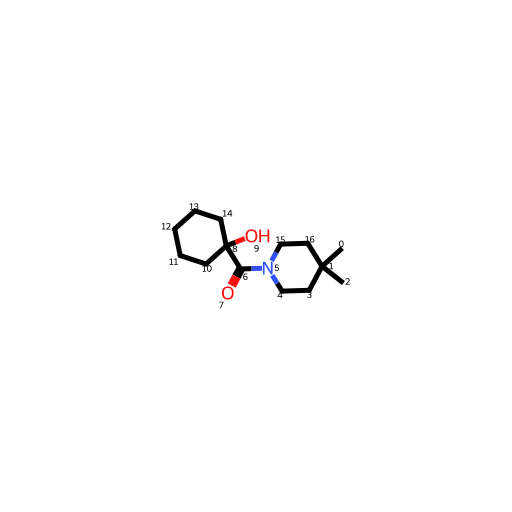 CC1(C)CCN(C(=O)C2(O)CCCCC2)CC1